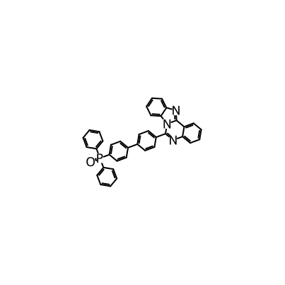 O=P(c1ccccc1)(c1ccccc1)c1ccc(-c2ccc(-c3nc4ccccc4c4nc5ccccc5n34)cc2)cc1